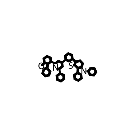 c1ccc(-c2cc(-c3cccc4c3sc3c4ccc4c3c3ccccc3n4-c3ccccc3)cc(-c3cccc4oc5ccccc5c34)n2)cc1